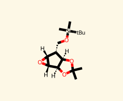 CC1(C)O[C@H]2[C@@H]3O[C@@H]3[C@H](CO[Si](C)(C)C(C)(C)C)[C@H]2O1